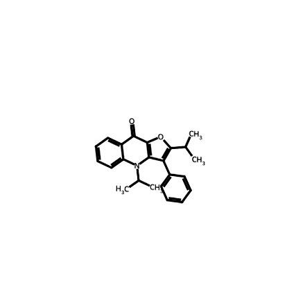 CC(C)c1oc2c(=O)c3ccccc3n(C(C)C)c2c1-c1ccccc1